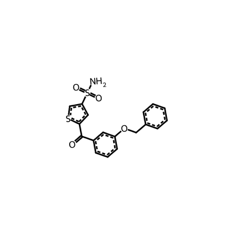 NS(=O)(=O)c1csc(C(=O)c2cccc(OCc3ccccc3)c2)c1